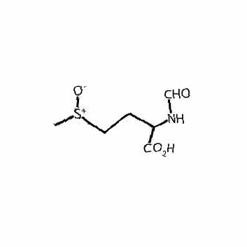 C[S+]([O-])CCC(NC=O)C(=O)O